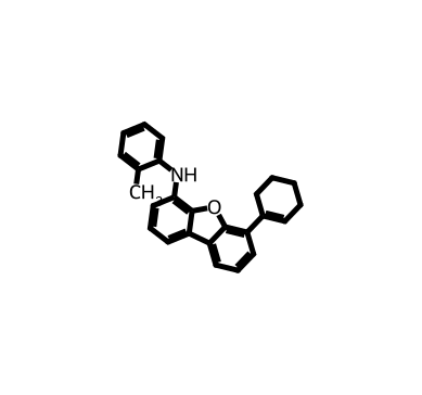 Cc1ccccc1Nc1cccc2c1oc1c(C3=CCCCC3)cccc12